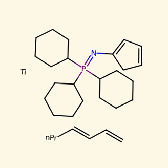 C1=CCC(N=P(C2CCCCC2)(C2CCCCC2)C2CCCCC2)=C1.C=CC=CCCC.[Ti]